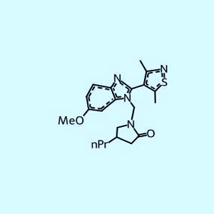 CCCC1CC(=O)N(Cn2c(-c3c(C)nsc3C)nc3ccc(OC)cc32)C1